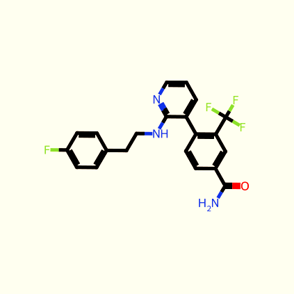 NC(=O)c1ccc(-c2cccnc2NCCc2ccc(F)cc2)c(C(F)(F)F)c1